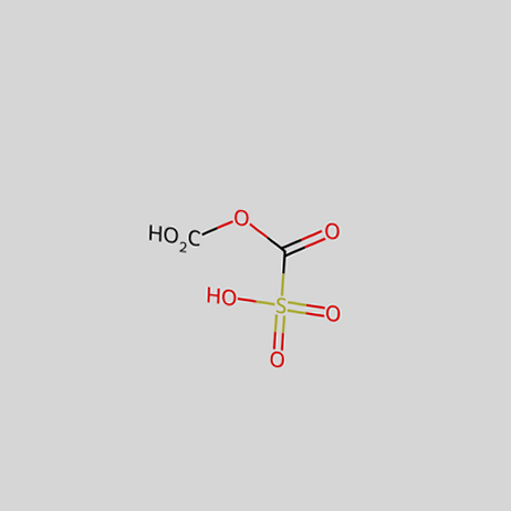 O=C(O)OC(=O)S(=O)(=O)O